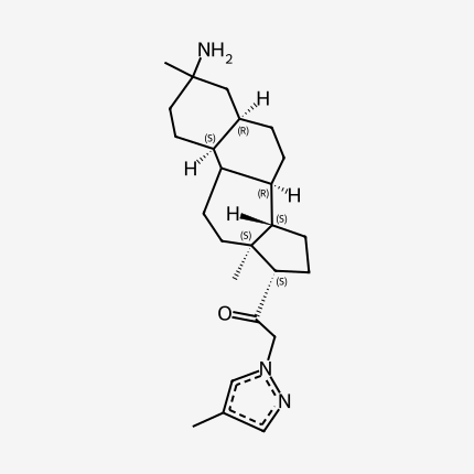 Cc1cnn(CC(=O)[C@H]2CC[C@H]3[C@@H]4CC[C@@H]5CC(C)(N)CC[C@@H]5C4CC[C@]23C)c1